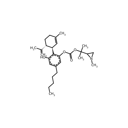 C=C(C)[C@@H]1CCC(C)=C[C@H]1c1c(O)cc(CCCCC)cc1OC(=O)OC(C)(C)C1CN1C